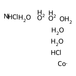 Cl.Cl.O.O.O.O.O.O.[Co].[Ni]